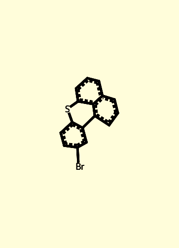 Brc1ccc2c(c1)-c1cccc3cccc(c13)S2